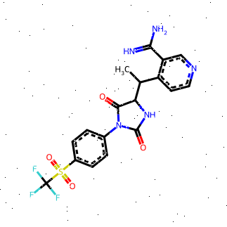 CC(c1ccncc1C(=N)N)C1NC(=O)N(c2ccc(S(=O)(=O)C(F)(F)F)cc2)C1=O